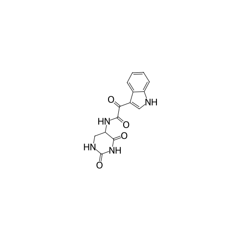 O=C1NCC(NC(=O)C(=O)c2c[nH]c3ccccc23)C(=O)N1